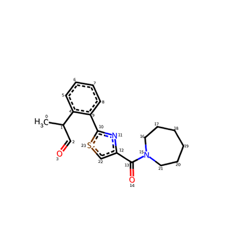 CC(C=O)c1ccccc1-c1nc(C(=O)N2CCCCCC2)cs1